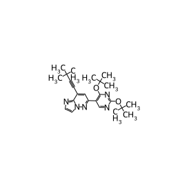 CC(C)(C)C#Cc1cc(-c2cnc(OC(C)(C)C)nc2OC(C)(C)C)nn2ccnc12